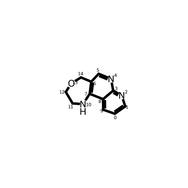 c1cnc2ncc3c(c2c1)NCCOC3